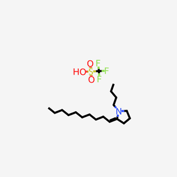 CCCCCCCCCC=C1CCCN1CCCC.O=S(=O)(O)C(F)(F)F